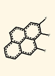 Fc1[c]c2ccc3cccc4cc(F)c(c1F)c2c34